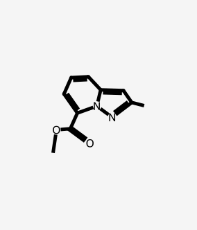 COC(=O)c1cccc2cc(C)nn12